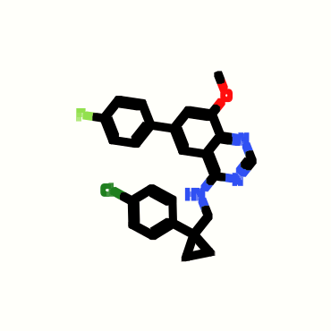 COc1cc(-c2ccc(F)cc2)cc2c(NCC3(c4ccc(Cl)cc4)CC3)ncnc12